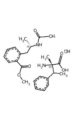 CC(c1ccccc1)[C@](C)(N)C(=O)O.COC(=O)c1ccccc1C[C@H](C)NC(=O)O.Cl